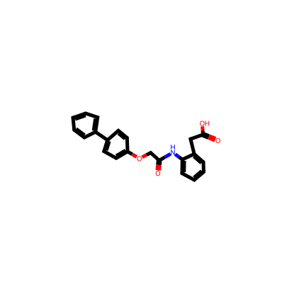 O=C(O)Cc1ccccc1NC(=O)COc1ccc(-c2ccccc2)cc1